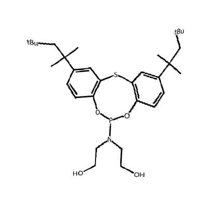 CC(C)(C)CC(C)(C)c1ccc2c(c1)Sc1cc(C(C)(C)CC(C)(C)C)ccc1OP(N(CCO)CCO)O2